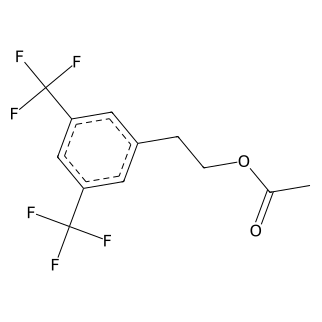 CC(=O)OCCc1cc(C(F)(F)F)cc(C(F)(F)F)c1